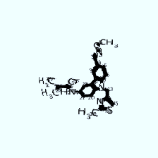 CON=Cc1ccc2c(c1)c1c(n2Cc2csc(C)n2)CC[C@@H](NC(=O)C(C)C)C1